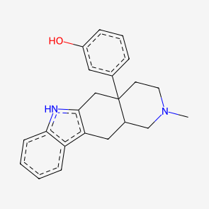 CN1CCC2(c3cccc(O)c3)Cc3[nH]c4ccccc4c3CC2C1